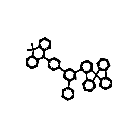 CC1(C)c2ccccc2N(c2ccc(-c3cc(-c4ccccc4)nc(-c4cccc5c4-c4ccccc4C54c5ccccc5-c5ccccc54)c3)cc2)c2ccccc21